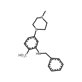 CN1CCN(c2ccc(C(=O)O)c(NCc3ccccc3)c2)CC1